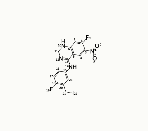 O=[N+]([O-])c1cc2c(cc1F)NCN=C2Nc1ccc(F)c(CI)c1